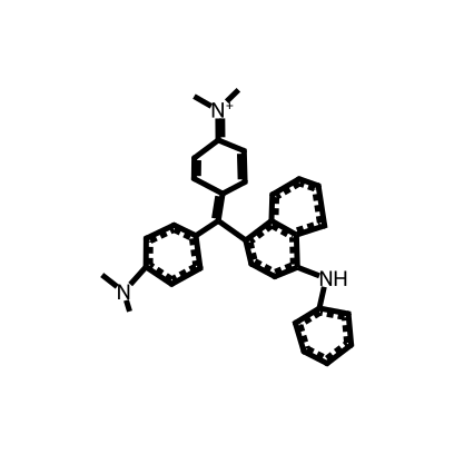 CN(C)c1ccc(C(=C2C=CC(=[N+](C)C)C=C2)c2ccc(Nc3ccccc3)c3ccccc23)cc1